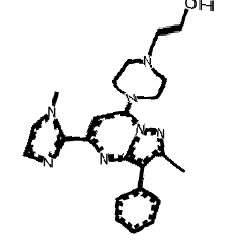 Cc1nn2c(N3CCN(CCO)CC3)cc(-c3nccn3C)nc2c1-c1ccccc1